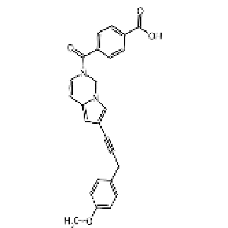 COc1ccc(CC#Cc2cc3n(c2)CN(C(=O)c2ccc(C(=O)O)cc2)C=C3)cc1